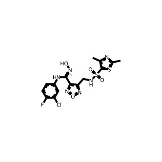 Cc1nc(C)c(S(=O)(=O)NCc2nonc2/C(=N/O)Nc2ccc(F)c(Cl)c2)s1